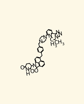 CC(C)n1cnnc1-c1cccc(N2CCN(Cc3ccc(Cc4ccc5c6c(cccc46)C(=O)N5C4CCC(=O)NC4=O)cc3)CC2)n1